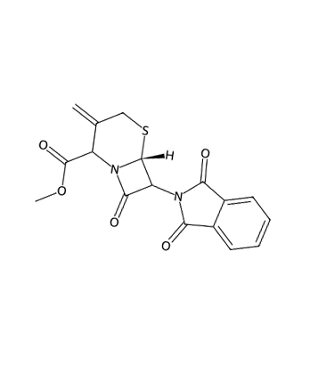 C=C1CS[C@@H]2C(N3C(=O)c4ccccc4C3=O)C(=O)N2C1C(=O)OC